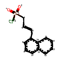 O=S(=O)(Cl)CC=Cc1cccc2ccccc12